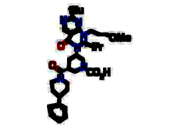 COCCCNc1nc(C(C)(C)C)ncc1C(=O)N(CC(C)C)[C@H]1C[C@@H](C(=O)N2CCC(c3ccccc3)CC2)CN(C(=O)O)C1